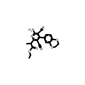 CCOC(=O)C(C)c1nc(N)c(C#N)c(-c2ccc3c(c2)OCCO3)c1C#N